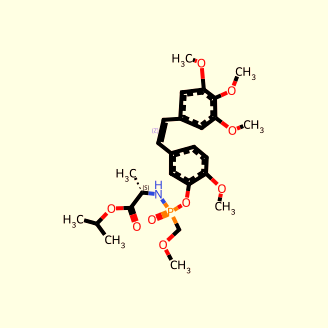 COCP(=O)(N[C@@H](C)C(=O)OC(C)C)Oc1cc(/C=C\c2cc(OC)c(OC)c(OC)c2)ccc1OC